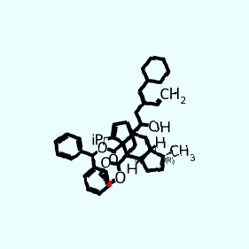 C=CC(CC1CCCCC1)CC(O)C12C[C@@H]3[C@H](C)CC[C@H]3C3(C4OCCO4)CC1C=C(C(C)C)C23C(=O)OC(c1ccccc1)c1ccccc1